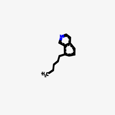 [CH2]CCCCc1cccc2ccncc12